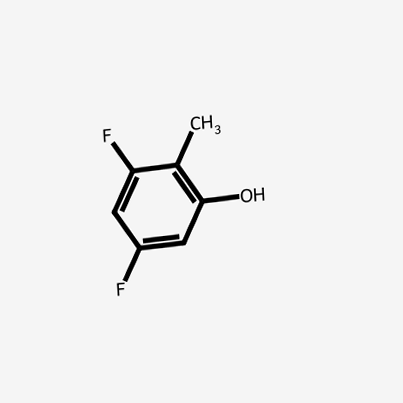 Cc1c(O)cc(F)cc1F